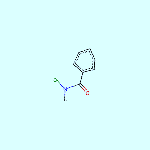 [CH2]N(Cl)C(=O)c1ccccc1